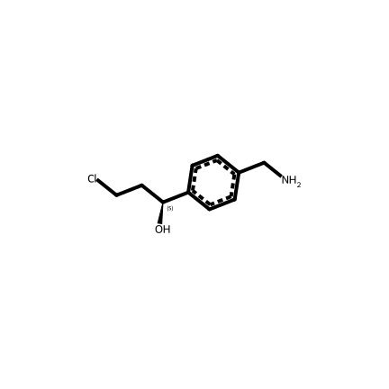 NCc1ccc([C@@H](O)CCCl)cc1